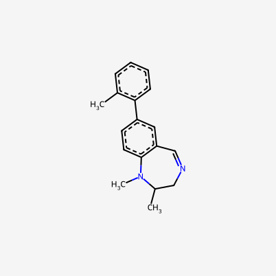 Cc1ccccc1-c1ccc2c(c1)C=NCC(C)N2C